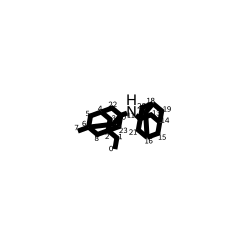 CCC12CC3CC(C)(C1)CC(NC14CC5CC(CC(C5)C1)C4)(C3)C2